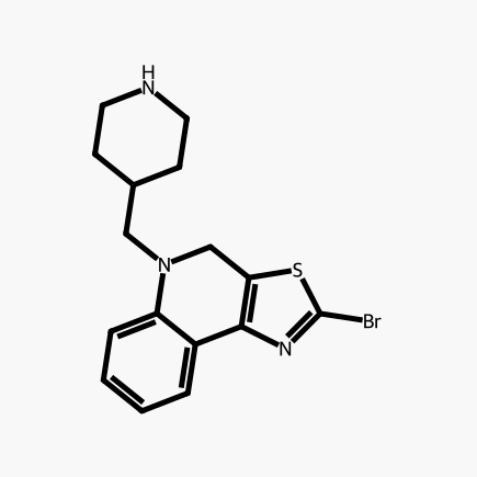 Brc1nc2c(s1)CN(CC1CCNCC1)c1ccccc1-2